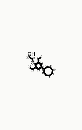 CCc1cc(C2CCCCCCC2)cc(CC)c1OCCO